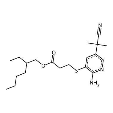 CCCCC(CC)COC(=O)CCSc1cc(C(C)(C)C#N)cnc1N